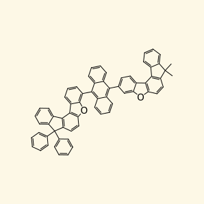 CC1(C)c2ccccc2-c2c1ccc1oc3cc(-c4c5ccccc5c(-c5cccc6c5oc5ccc7c(c56)-c5ccccc5C7(c5ccccc5)c5ccccc5)c5ccccc45)ccc3c21